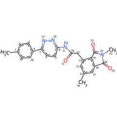 Cc1ccc(-c2ccc(NC(=O)Cc3cc(C)cc4c3C(=O)N(C)C4=O)nn2)cc1